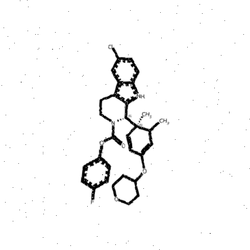 CC1C=C(OC2CCOCC2)C=C[C@@]1(C)[C@H]1c2[nH]c3ccc(Cl)cc3c2CCN1C(=O)Oc1ccc(F)cc1